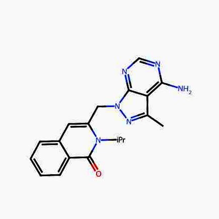 Cc1nn(Cc2cc3ccccc3c(=O)n2C(C)C)c2ncnc(N)c12